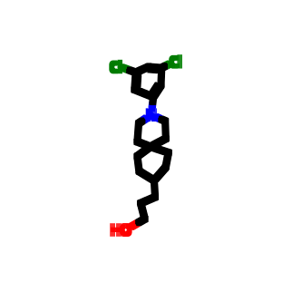 OCCCC1CCC2(CC1)CCN(c1cc(Cl)cc(Cl)c1)CC2